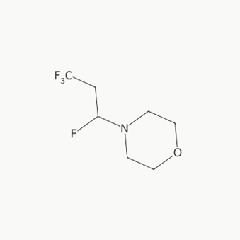 FC(CC(F)(F)F)N1CCOCC1